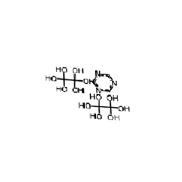 OC(O)(O)C(O)(O)O.OC(O)(O)C(O)(O)O.c1ncncn1